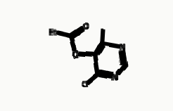 CCC(=O)Oc1c(C)ncnc1Cl